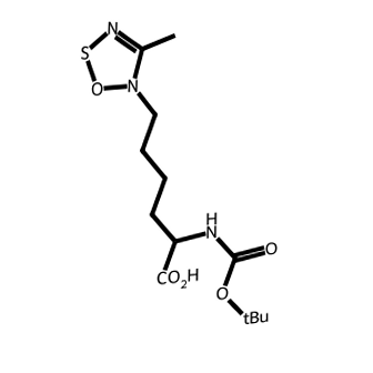 CC1=NSON1CCCCC(NC(=O)OC(C)(C)C)C(=O)O